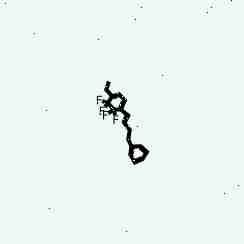 CCC1=CC=C(/C=C/CCc2ccccc2)C(F)(F)C1(F)F